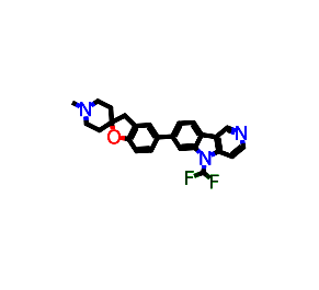 CN1CCC2(CC1)Cc1cc(-c3ccc4c5cnccc5n(C(F)F)c4c3)ccc1O2